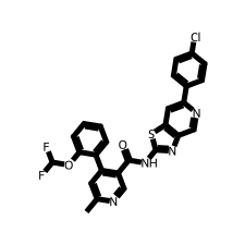 Cc1cc(-c2ccccc2OC(F)F)c(C(=O)Nc2nc3cnc(-c4ccc(Cl)cc4)cc3s2)cn1